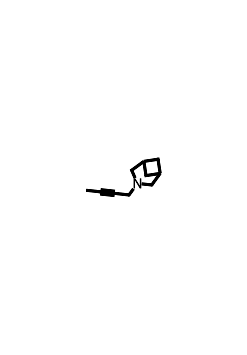 CC#CCN1CC2CC(C2)C1